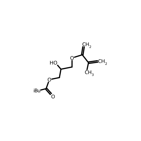 C=C(C)C(=C)OCC(O)COC(=O)C(C)CC